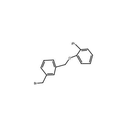 CC(C)c1ccccc1OCc1cccc(CBr)c1